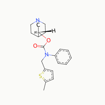 Cc1ccc(CN(C(=O)O[C@H]2CN3CCC2CC3)c2ccccc2)s1